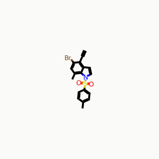 C#Cc1c(Br)cc(C)c2c1ccn2S(=O)(=O)c1ccc(C)cc1